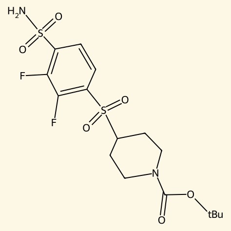 CC(C)(C)OC(=O)N1CCC(S(=O)(=O)c2ccc(S(N)(=O)=O)c(F)c2F)CC1